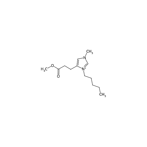 CCCCC[n+]1cn(C)cc1CCC(=O)OC